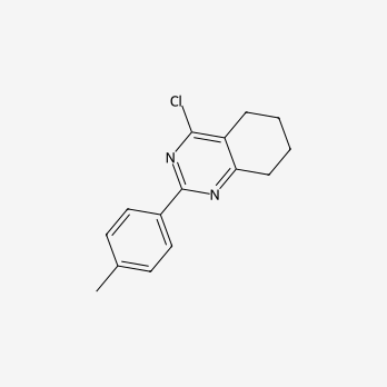 Cc1ccc(-c2nc(Cl)c3c(n2)CCCC3)cc1